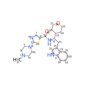 CN1CCN(c2ncc(C(=O)NC(Cc3c[nH]c4ccccc34)C3CCOCC3)s2)CC1